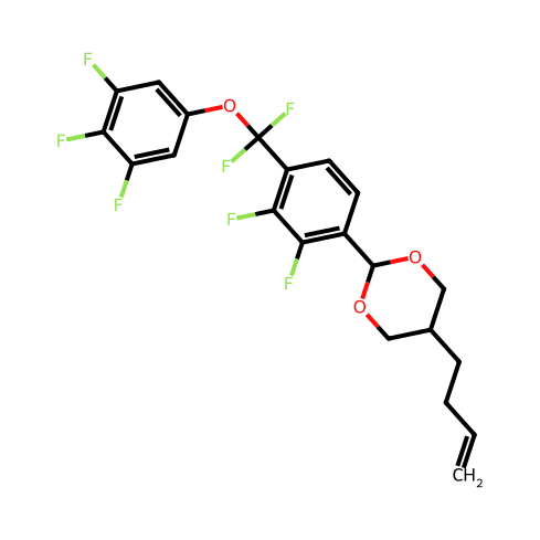 C=CCCC1COC(c2ccc(C(F)(F)Oc3cc(F)c(F)c(F)c3)c(F)c2F)OC1